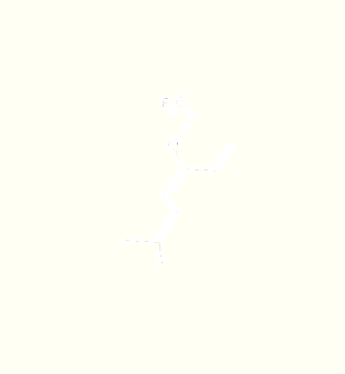 C=C/C(=C\C=C(C)C)OCC(F)(F)F